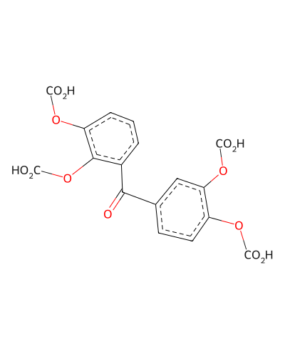 O=C(O)Oc1ccc(C(=O)c2cccc(OC(=O)O)c2OC(=O)O)cc1OC(=O)O